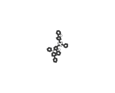 C1=CCC(c2nc(-c3ccc4c(c3)oc3ccccc34)nc(-c3ccc(N(c4ccccc4)c4ccc(-c5ccccc5)cc4)c4c3oc3ccccc34)n2)C=C1